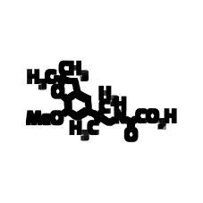 COc1cc(C(C)(C)CNC(=O)C(=O)O)cc2c1OC(C)(C)C2